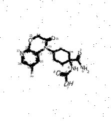 NC(=O)C1(NC(=O)O)CCC(N2C(=O)COc3ncc(F)cc32)CC1